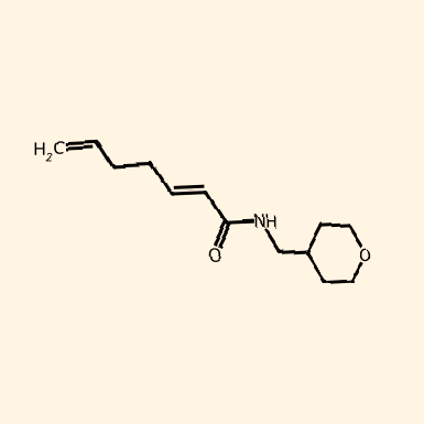 C=CCCC=CC(=O)NCC1CCOCC1